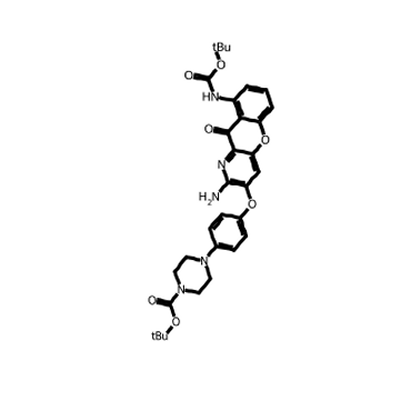 CC(C)(C)OC(=O)Nc1cccc2oc3cc(Oc4ccc(N5CCN(C(=O)OC(C)(C)C)CC5)cc4)c(N)nc3c(=O)c12